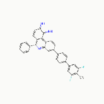 N#Cc1c(F)cc(-c2ccc(-c3ccc4c5c(c(-c6ccccc6)nc4c3)C=CC(=N)C5=N)cc2)cc1F